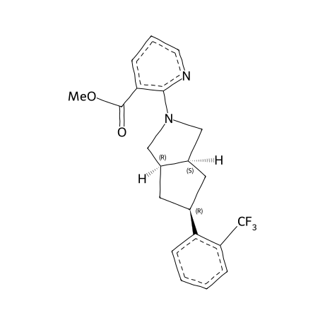 COC(=O)c1cccnc1N1C[C@H]2C[C@@H](c3ccccc3C(F)(F)F)C[C@H]2C1